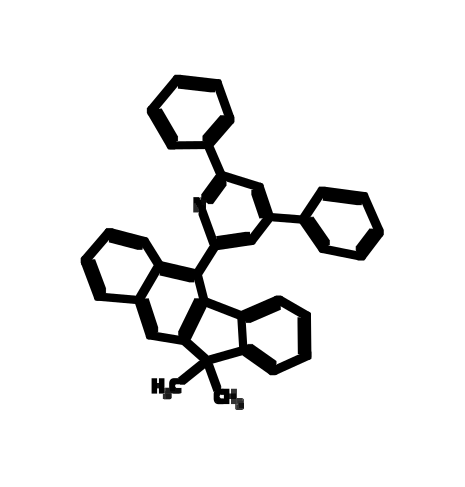 CC1(C)c2ccccc2-c2c1cc1ccccc1c2-c1cc(-c2ccccc2)cc(-c2ccccc2)n1